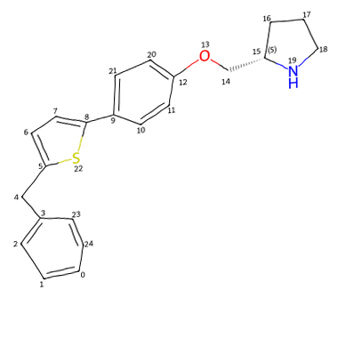 c1ccc(Cc2ccc(-c3ccc(OC[C@@H]4CCCN4)cc3)s2)cc1